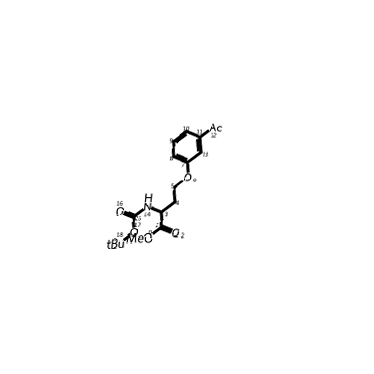 COC(=O)C(CCOc1cccc(C(C)=O)c1)NC(=O)OC(C)(C)C